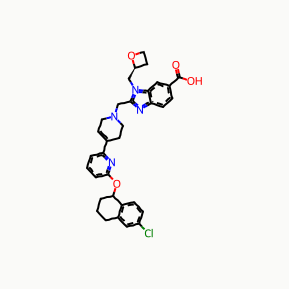 O=C(O)c1ccc2nc(CN3CC=C(c4cccc(OC5CCCc6cc(Cl)ccc65)n4)CC3)n(C[C@@H]3CCO3)c2c1